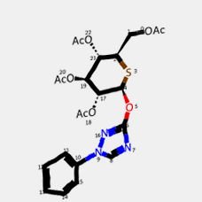 CC(=O)OC[C@H]1S[C@@H](Oc2ncn(-c3ccccc3)n2)[C@H](OC(C)=O)[C@@H](OC(C)=O)[C@@H]1OC(C)=O